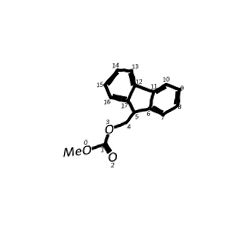 COC(=O)OCC1c2ccccc2-c2ccccc21